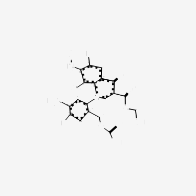 CCOC(=O)c1cn(-c2cc(N)c(F)cc2COC(C)=O)c2c(Cl)c(NC)c(F)cc2c1=O